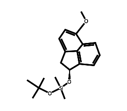 COc1ccc2c3c(cccc13)[C@@H](O[Si](C)(C)OC(C)(C)C)C2